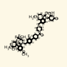 COc1ccc([C@]2(CCN(Cc3ccc(C4=CC[C@H](C(=O)N5CCN(Cc6ccc7c8c6CN(C)CCn8c(=O)n7C6CCC(=O)NC6=O)CC5)CC4)c(F)c3)CC(C)(C)C(F)(F)F)CCOC(C)(C)C2)cc1